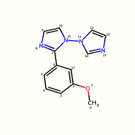 COc1cccc(-c2nccn2-n2ccnc2)c1